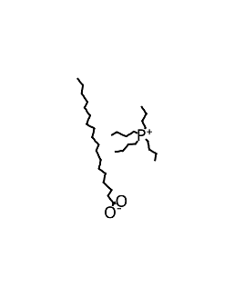 CCCCCCCCCCCCCCCCCC(=O)[O-].CCCC[P+](CCCC)(CCCC)CCCC